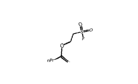 [CH]=C(CCC)OCCS(=O)(=O)F